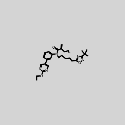 C=C(CCF)C(=O)N(CCCCCc1nc(C(C)(C)C)no1)c1cccc(-c2cnc(OCC)nc2)c1